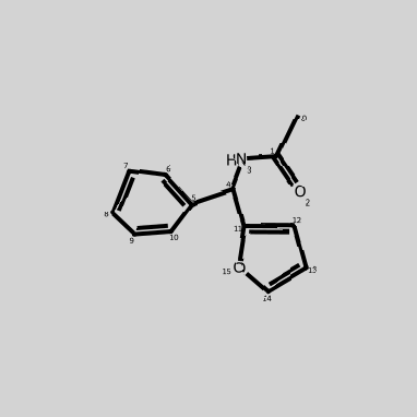 CC(=O)NC(c1ccccc1)c1ccco1